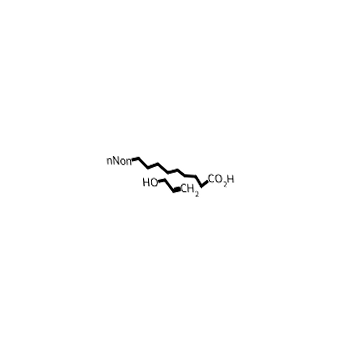 C=CCO.CCCCCCCCCCCCCCCCCC(=O)O